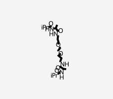 CC(C)C(=O)NC(C)C(=O)NCCCOCCOCCCNC(=O)C(C)NC(=O)C(C)C